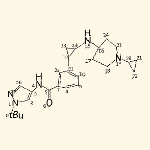 CC(C)(C)n1cc(NC(=O)c2cccc(C3CC3NC3CCN(C4CC4)CC3)c2)cn1